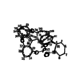 c1ccc([C@H]2CCCC[C@@H]2OP2Oc3cccc4c3C3(c5ccccc5O4)c4ccccc4Oc4cccc(c43)O2)cc1